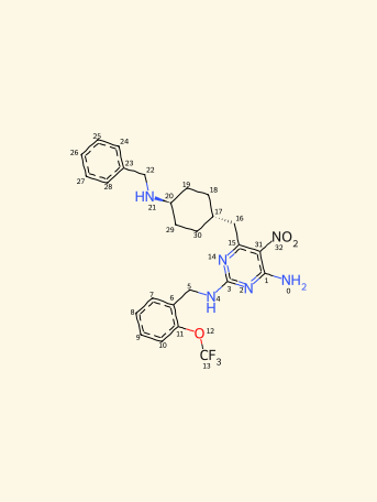 Nc1nc(NCc2ccccc2OC(F)(F)F)nc(C[C@H]2CC[C@H](NCc3ccccc3)CC2)c1[N+](=O)[O-]